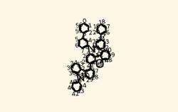 c1ccc(-c2cccc(N(c3cccc(-c4ccccc4)c3)c3ccc(-c4cccc5c4c4ccccc4n5-c4ccccc4)c4oc5ccccc5c34)c2)cc1